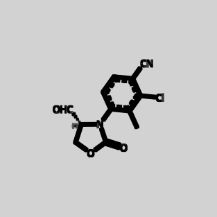 Cc1c(N2C(=O)OC[C@@H]2C=O)ccc(C#N)c1Cl